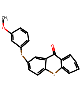 COc1cccc(Sc2ccc3sc4ccccc4c(=O)c3c2)c1